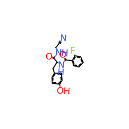 N#CCNC(=O)C(Cc1ccc(O)cc1)NC(=O)c1ccccc1F